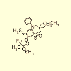 CCCCC1(CC)CN(c2ccccc2)c2cc(SC)c(OCC(C)(F)C(=O)OC)cc2S(=O)(=O)C1